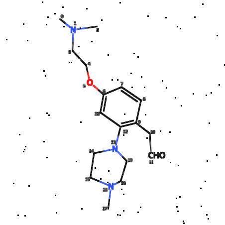 CN(C)CCOc1ccc(CC=O)c(N2CCN(C)CC2)c1